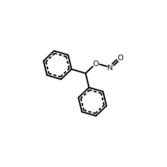 O=NOC(c1ccccc1)c1ccccc1